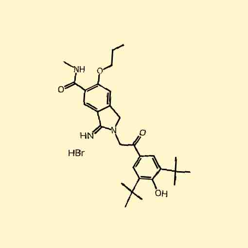 Br.CCCOc1cc2c(cc1C(=O)NC)C(=N)N(CC(=O)c1cc(C(C)(C)C)c(O)c(C(C)(C)C)c1)C2